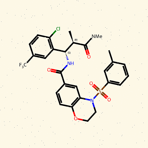 CNC(=O)[C@H](C)[C@H](NC(=O)c1ccc2c(c1)N(S(=O)(=O)c1cccc(C)c1)CCO2)c1cc(C(F)(F)F)ccc1Cl